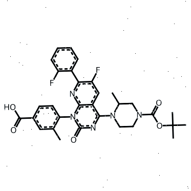 Cc1cc(C(=O)O)ccc1-n1c(=O)nc(N2CCN(C(=O)OC(C)(C)C)CC2C)c2cc(F)c(-c3ccccc3F)nc21